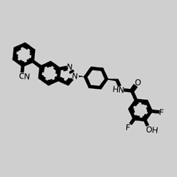 N#Cc1ccccc1-c1ccc2cn([C@H]3CC[C@H](CNC(=O)c4cc(F)c(O)c(F)c4)CC3)nc2c1